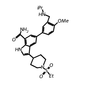 CCS(=O)(=O)N1CCC(c2c[nH]c3c(C(N)=O)cc(-c4ccc(OC)c(CNC(C)C)c4)cc23)CC1